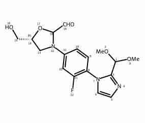 COC(OC)c1nccn1-c1ccc(N2C[C@H](CO)OC2C=O)cc1F